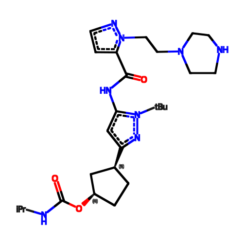 CC(C)NC(=O)O[C@@H]1CC[C@H](c2cc(NC(=O)c3ccnn3CCN3CCNCC3)n(C(C)(C)C)n2)C1